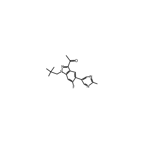 CC(=O)c1nn(CC(C)(C)C)c2cc(F)c(-c3cnc(C)nc3)cc12